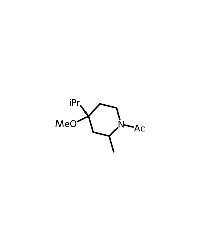 COC1(C(C)C)CCN(C(C)=O)C(C)C1